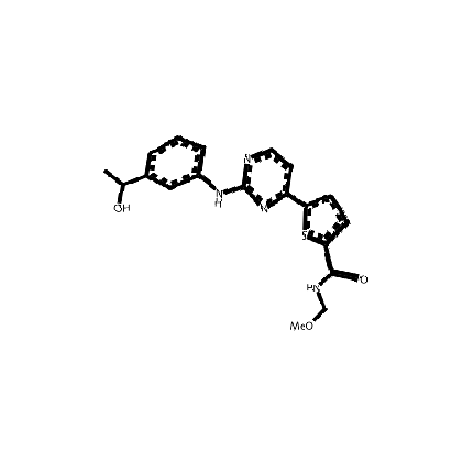 COCNC(=O)c1ccc(-c2ccnc(Nc3cccc(C(C)O)c3)n2)s1